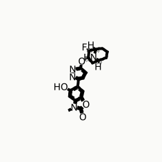 Cn1c(=O)oc2cc(-c3ccc(O[C@H]4C[C@@H]5CCC[C@@H](N5)[C@H]4F)nn3)c(O)cc21